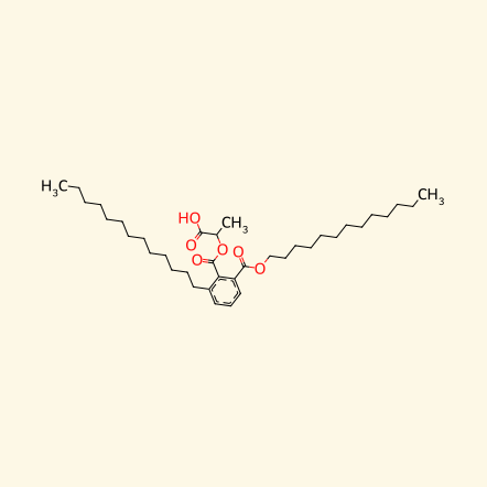 CCCCCCCCCCCCCOC(=O)c1cccc(CCCCCCCCCCCCC)c1C(=O)OC(C)C(=O)O